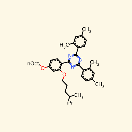 CCCCCCCCOc1ccc(-c2nc(-c3ccc(C)cc3C)nc(-c3ccc(C)cc3C)n2)c(OCCCC(C)C(C)C)c1